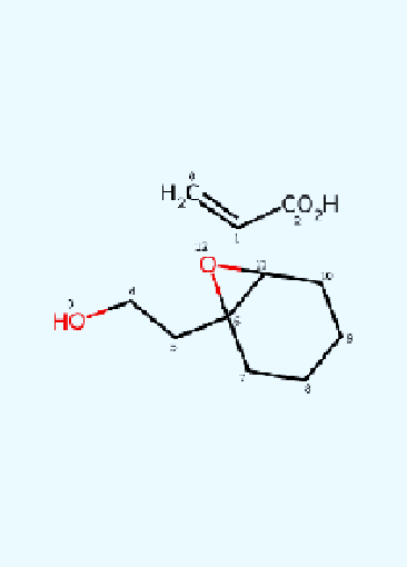 C=CC(=O)O.OCCC12CCCCC1O2